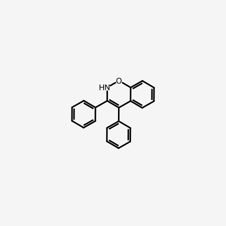 c1ccc(C2=C(c3ccccc3)c3ccccc3ON2)cc1